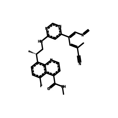 C=N/C=C(\C=C(/C)C#N)c1cc(NC[C@@H](C)c2ccc(F)c3c(C(=O)NC)ccnc23)ncn1